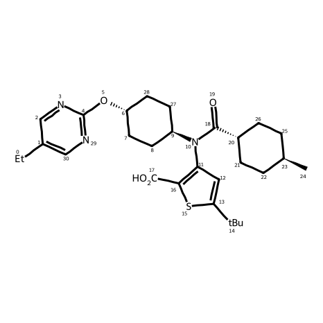 CCc1cnc(O[C@H]2CC[C@H](N(c3cc(C(C)(C)C)sc3C(=O)O)C(=O)[C@H]3CC[C@H](C)CC3)CC2)nc1